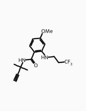 C#CC(C)(C)NC(=O)c1ccc(OC)cc1NCCC(F)(F)F